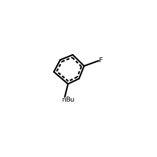 [CH2]CCCc1cccc(F)c1